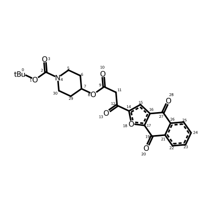 CC(C)(C)OC(=O)N1CCC(OC(=O)CC(=O)c2cc3c(o2)C(=O)c2ccccc2C3=O)CC1